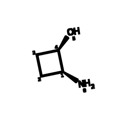 N[C@H]1CC[C@H]1O